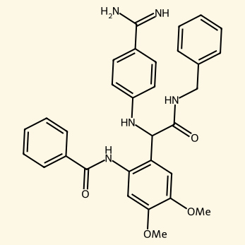 COc1cc(NC(=O)c2ccccc2)c(C(Nc2ccc(C(=N)N)cc2)C(=O)NCc2ccccc2)cc1OC